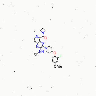 COc1ccc(OC2CCN(c3nc4c(C(=O)N5CCC5)nccc4nc3NC3CC3)CC2)c(F)c1